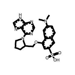 CN(C)c1ccc2cc(S(=O)(=O)O)cc(OCC3CCCN3c3ncnc4[nH]cnc34)c2c1